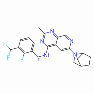 Cc1nc(N[C@H](C)c2cccc(C(F)F)c2F)c2cc(N3CC4CCC3C4)ncc2n1